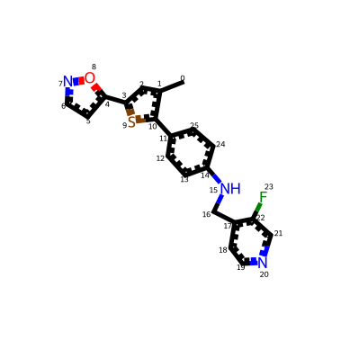 Cc1cc(-c2ccno2)sc1-c1ccc(NCc2ccncc2F)cc1